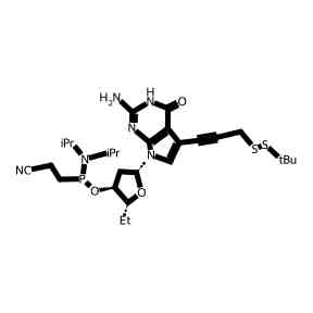 CC[C@H]1O[C@@H](n2cc(C#CCSSC(C)(C)C)c3c(=O)[nH]c(N)nc32)C[C@@H]1OP(CCC#N)N(C(C)C)C(C)C